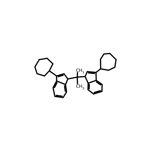 CC(C)(C1C=C(C2CCCCCC2)c2ccccc21)C1C=C(C2CCCCCC2)c2ccccc21